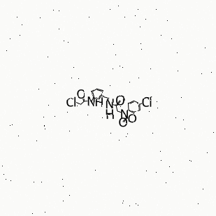 O=C(Cn1c(=O)oc2cc(Cl)ccc21)NCc1cccc(NC(=O)CCl)c1